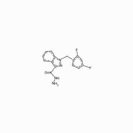 NNC(=O)c1nn(Cc2ccc(F)cc2F)c2ccccc12